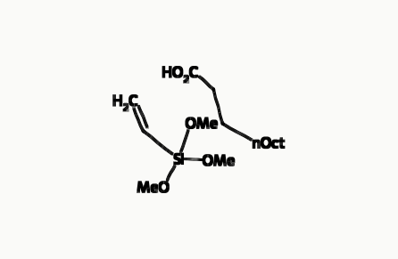 C=C[Si](OC)(OC)OC.CCCCCCCCCCC(=O)O